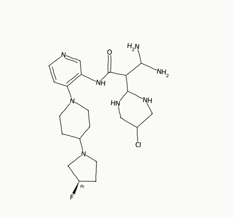 NC(N)C(C(=O)Nc1cnccc1N1CCC(N2CC[C@@H](F)C2)CC1)C1NCC(Cl)CN1